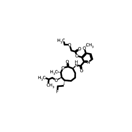 CCOCC(=O)Oc1c(OC)ccnc1C(=O)N[C@H]1CCC[C@H](CCF)[C@@H](OCC(C)C)[C@H](C)OC1=O